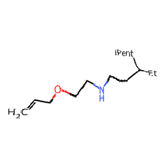 C=CCOCCNCCC(CC)C(C)CCC